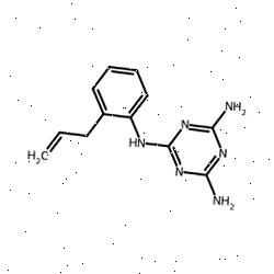 C=CCc1ccccc1Nc1nc(N)nc(N)n1